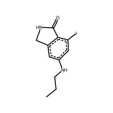 CCCNc1cc(I)c2c(c1)CNC2=O